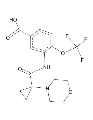 O=C(O)c1ccc(OC(F)(F)F)c(NC(=O)C2(N3CCOCC3)CC2)c1